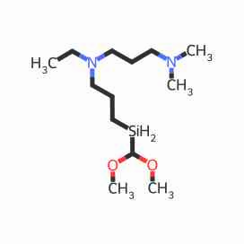 CCN(CCC[SiH2]C(OC)OC)CCCN(C)C